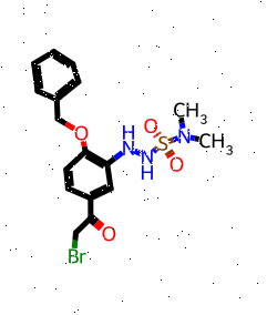 CN(C)S(=O)(=O)NNc1cc(C(=O)CBr)ccc1OCc1ccccc1